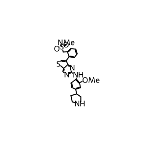 CNS(=O)(=O)Cc1ccccc1-c1csc2cnc(Nc3ccc(C4CCNCC4)cc3OC)nc12